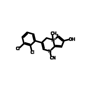 C[N+]12C=C(O)C=C1N(C#N)C=C(c1cccc(Cl)c1Cl)C2